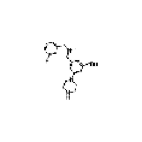 CN(Cc1cccc(F)c1)Cc1cc(N2CCNCC2)cc(C(C)(C)C)c1